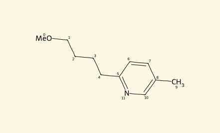 COCCCCc1ccc(C)cn1